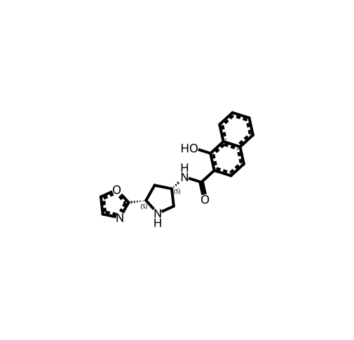 O=C(N[C@@H]1CN[C@H](c2ncco2)C1)c1ccc2ccccc2c1O